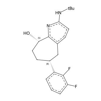 CC(C)(C)Nc1ccc2c(n1)[C@@H](O)CC[C@@H](c1cccc(F)c1F)C2